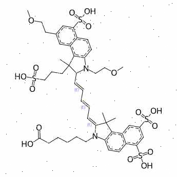 COCCc1cc(S(=O)(=O)O)c2ccc3c(c2c1)C(C)(CCCS(=O)(=O)O)C(/C=C/C=C/C=C1/N(CCCCCC(=O)O)c2ccc4c(S(=O)(=O)O)cc(S(=O)(=O)O)cc4c2C1(C)C)N3CCOC